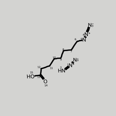 [N-]=[N+]=N.[N-]=[N+]=NCCCCCCCC(=O)O